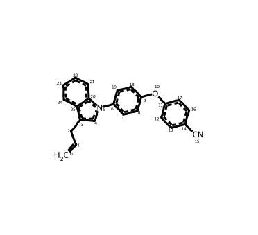 C=CCc1cn(-c2ccc(Oc3ccc(C#N)cc3)cc2)c2ccccc12